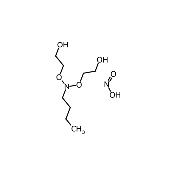 CCCCN(OCCO)OCCO.O=NO